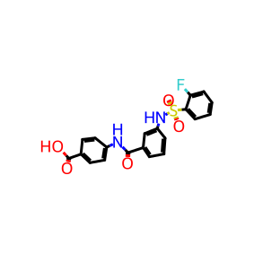 O=C(O)c1ccc(NC(=O)c2cccc(NS(=O)(=O)c3ccccc3F)c2)cc1